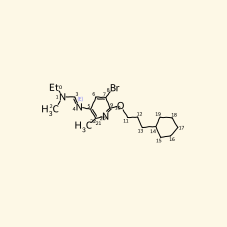 CCN(C)/C=N/c1cc(Br)c(OCCCC2CCCCC2)nc1C